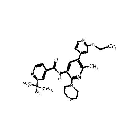 CCOc1cc(-c2cc(NC(=O)c3ccnc(C(C)(C)O)c3)c(N3CCOCC3)nc2C)ccn1